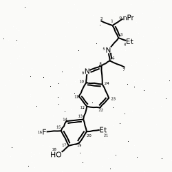 CCC/C(C)=C(CC)/N=C(\C)C1=Nc2cc(-c3cc(F)c(O)cc3CC)ccc21